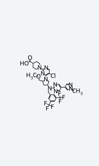 COCC1CC(N(Cc2cc(C(F)(F)F)cc(C(F)(F)F)c2)c2ncc(-c3cnn(C)c3)cn2)CN1c1nc(N2CCC(C(=O)O)CC2)ncc1Cl